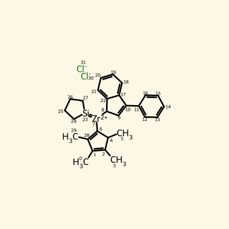 CC1=C(C)C(C)[C]([Zr+2]([CH]2C=C(c3ccccc3)c3ccccc32)=[Si]2CCCC2)=C1C.[Cl-].[Cl-]